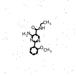 CCNC(=O)c1cnc(-c2ccccc2OC)nc1N